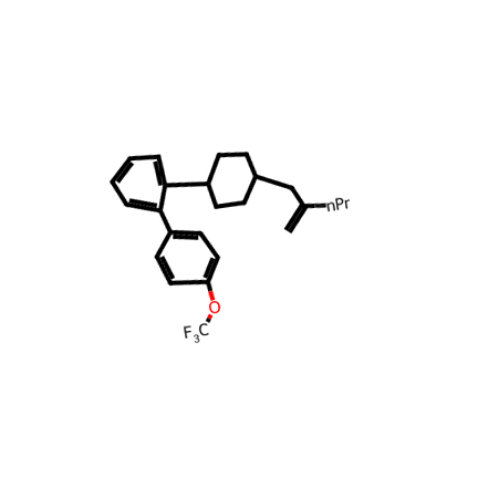 C=C(CCC)CC1CCC(c2ccccc2-c2ccc(OC(F)(F)F)cc2)CC1